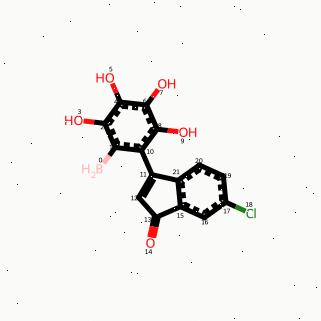 Bc1c(O)c(O)c(O)c(O)c1C1=CC(=O)c2cc(Cl)ccc21